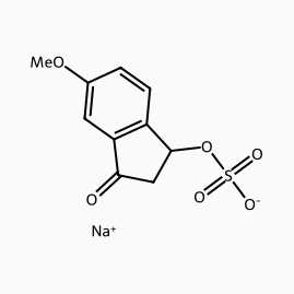 COc1ccc2c(c1)C(=O)CC2OS(=O)(=O)[O-].[Na+]